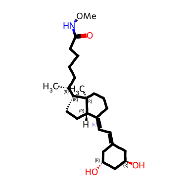 CONC(=O)CCCC[C@@H](C)[C@H]1CC[C@H]2/C(=C/C=C3C[C@@H](O)C[C@H](O)C3)CCC[C@]12C